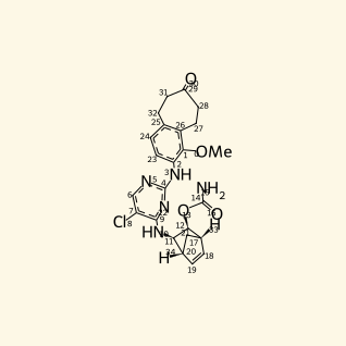 COc1c(Nc2ncc(Cl)c(N[C@H]3[C@@H](OC(N)=O)[C@@H]4C=C[C@H]3C4)n2)ccc2c1CCC(=O)CC2